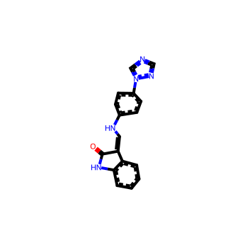 O=C1Nc2ccccc2/C1=C/Nc1ccc(-n2cncn2)cc1